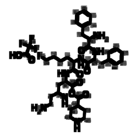 NCCC(N)C[C@@H](NC(=O)C(CCCCF)NC(=O)[C@@H](Cc1ccccc1)NC(=O)[C@H](N)Cc1ccccc1)C(=O)OC(=O)C1CCNCC1.O=C(O)C(F)(F)F